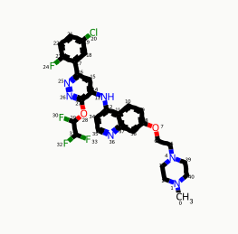 CN1CCN(CCOc2ccc3c(Nc4cc(-c5cc(Cl)ccc5F)nnc4OC(F)C(F)F)ccnc3c2)CC1